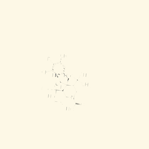 Cc1cc(C[C@@]2(C(=O)O)C(C(C)(C)C)CN(C(=O)O)[C@H](C)C2C(C)(C)C)nc(Cl)c1F